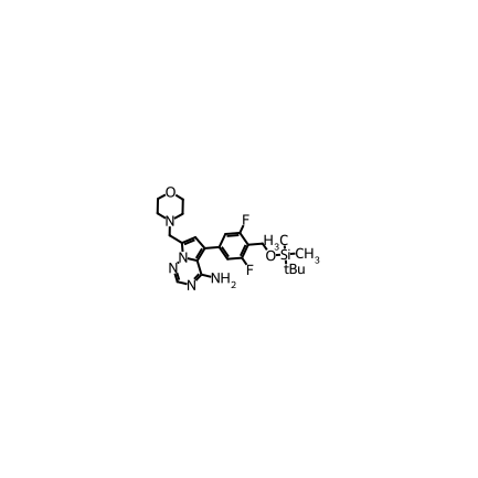 CC(C)(C)[Si](C)(C)OCc1c(F)cc(-c2cc(CN3CCOCC3)n3ncnc(N)c23)cc1F